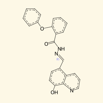 O=C(N/N=C/c1ccc(O)c2ncccc12)c1ccccc1Oc1ccccc1